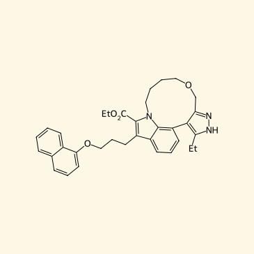 CCOC(=O)c1c(CCCOc2cccc3ccccc23)c2cccc3c2n1CCCCOCc1n[nH]c(CC)c1-3